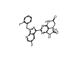 C[C@]12CC(=O)Nc3nc(-c4nn(Cc5ccccc5F)c5ncc(F)cc45)nc(c31)NC2=O